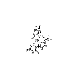 CNc1nc2c(OC(F)(F)F)cccc2c2c1ccn2-c1ccc(F)cc1C